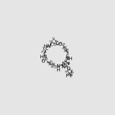 O=C1NCC2(CC2)CNCC2(CCC2)COc2ccc(cc2)CNc2nc(nc(OCC(F)(F)F)n2)Nc2ccc1cc2